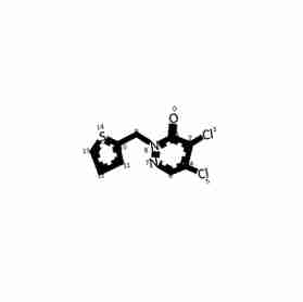 O=c1c(Cl)c(Cl)cnn1Cc1cccs1